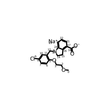 COCCOc1ccc(Cl)cc1CN1CCc2c(C(=O)[O-])cccc21.[Na+]